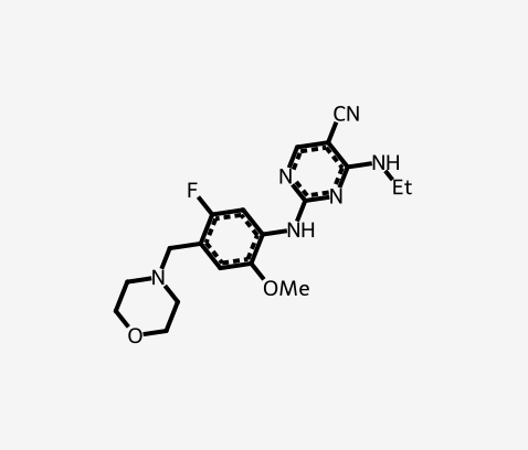 CCNc1nc(Nc2cc(F)c(CN3CCOCC3)cc2OC)ncc1C#N